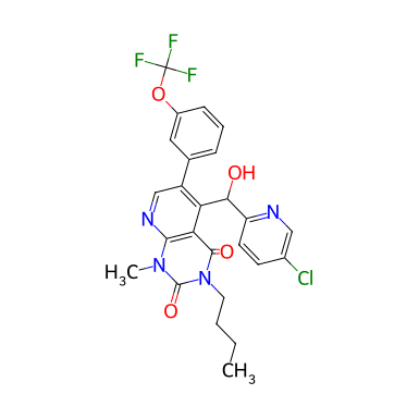 CCCCn1c(=O)c2c(C(O)c3ccc(Cl)cn3)c(-c3cccc(OC(F)(F)F)c3)cnc2n(C)c1=O